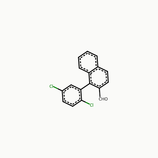 O=Cc1ccc2ccccc2c1-c1cc(Cl)ccc1Cl